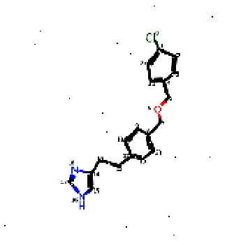 Clc1ccc(COCc2ccc(CCc3c[nH]cn3)cc2)cc1